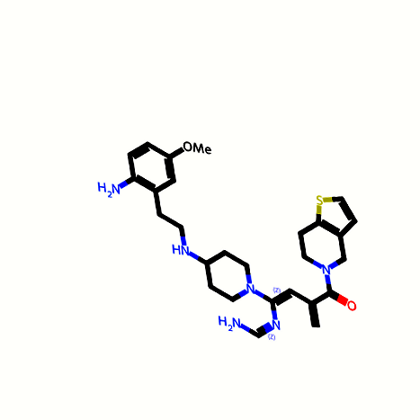 C=C(/C=C(\N=C/N)N1CCC(NCCc2cc(OC)ccc2N)CC1)C(=O)N1CCc2sccc2C1